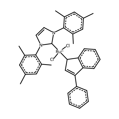 Cc1cc(C)c(N2C=CN(c3c(C)cc(C)cc3C)[CH]2[Ru-2]([Cl])([Cl])[CH]2C=C(c3ccccc3)c3ccccc32)c(C)c1